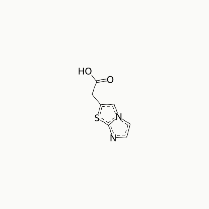 O=C(O)Cc1cn2ccnc2s1